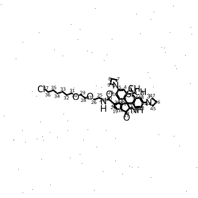 C[Si]1(C)c2cc(N3CCC3)ccc2C2(C(=N)C(=O)c3ccc(C(=O)NCCOCCOCCCCCCCl)cc32)c2ccc(N3CCC3)cc21